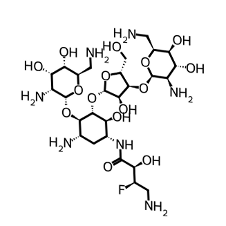 NC[C@@H](F)[C@H](O)C(=O)N[C@@H]1C[C@H](N)[C@@H](O[C@H]2O[C@H](CN)[C@@H](O)[C@@H](O)[C@H]2N)[C@H](O[C@@H]2O[C@H](CO)[C@@H](O[C@H]3O[C@@H](CN)[C@@H](O)[C@H](O)[C@H]3N)[C@H]2O)[C@H]1O